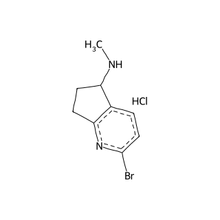 CNC1CCc2nc(Br)ccc21.Cl